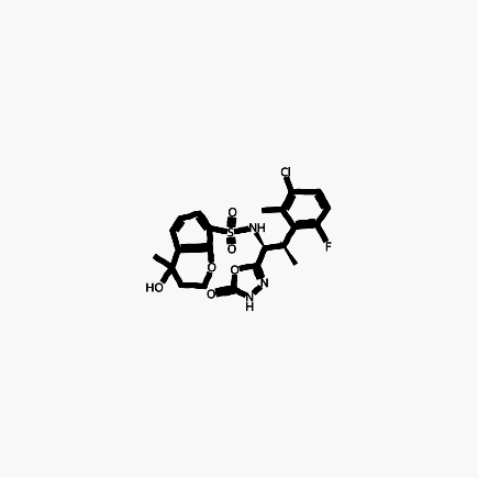 Cc1c(Cl)ccc(F)c1[C@@H](C)[C@H](NS(=O)(=O)c1cccc2c1OCCC2(C)O)c1n[nH]c(=O)o1